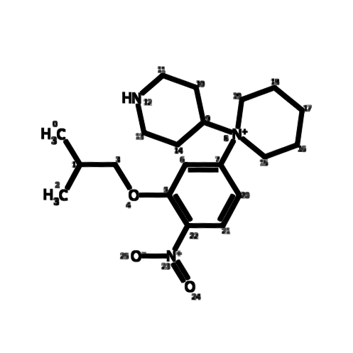 CC(C)COc1cc([N+]2(C3CCNCC3)CCCCC2)ccc1[N+](=O)[O-]